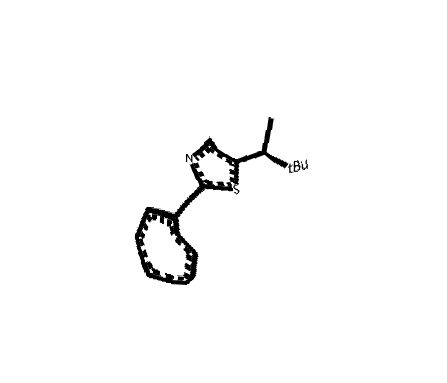 CC(c1cnc(-c2ccccc2)s1)C(C)(C)C